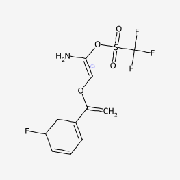 C=C(O/C=C(\N)OS(=O)(=O)C(F)(F)F)C1=CC=CC(F)C1